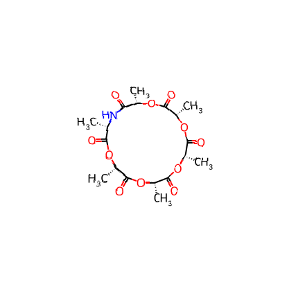 C[C@@H]1NC(=O)[C@H](C)OC(=O)[C@H](C)OC(=O)[C@H](C)OC(=O)[C@H](C)OC(=O)[C@H](C)OC1=O